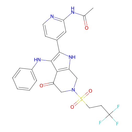 CC(=O)Nc1cc(-c2[nH]c3c(c2Nc2ccccc2)C(=O)CN(S(=O)(=O)CCC(F)(F)F)C3)ccn1